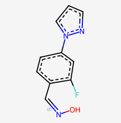 O/N=C\c1ccc(-n2cccn2)cc1F